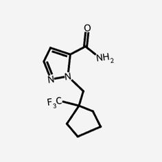 NC(=O)c1ccnn1CC1(C(F)(F)F)CCCC1